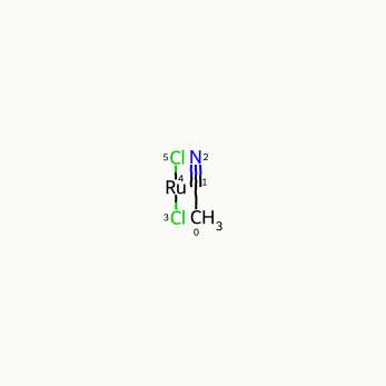 CC#N.[Cl][Ru][Cl]